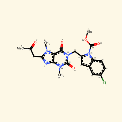 COC(=O)Cc1nc2c(c(=O)n(Cc3cc4cc(Cl)ccc4n3C(=O)OC(C)(C)C)c(=O)n2C)n1C